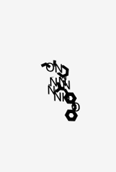 CCOC(C)N1CCC[C@@H](n2nc(-c3ccc(Oc4ccccc4)cc3)c3c2N(C)CN=C3N)C1